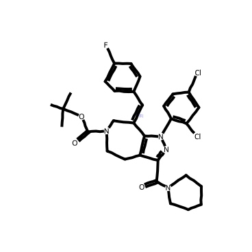 CC(C)(C)OC(=O)N1CCc2c(C(=O)N3CCCCC3)nn(-c3ccc(Cl)cc3Cl)c2/C(=C/c2ccc(F)cc2)C1